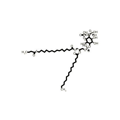 CCCCCCCCCCCCCCCC(=O)O[C@H](COC(=O)CCCCCCCCCCCCCSC(=O)CCC)COP(=O)(O)OC1C(O)[C@@H](OP(=O)(O)O)C(OP(=O)(O)O)[C@@H](O)[C@H]1O